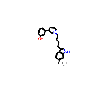 O=C(O)c1ccc2c(CCCCN3CC=CC(c4cccc(O)c4)C3)c[nH]c2c1